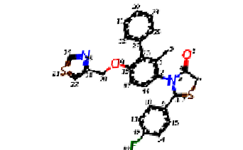 Cc1c(N2C(=O)CSC2c2ccc(F)cc2)ccc(OCc2cscn2)c1-c1ccccc1